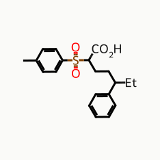 CCC(CCC(C(=O)O)S(=O)(=O)c1ccc(C)cc1)c1ccccc1